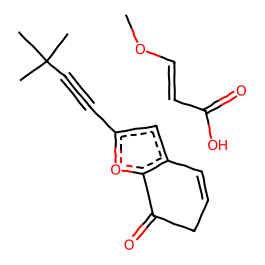 CC(C)(C)C#Cc1cc2c(o1)C(=O)CC=C2.CO/C=C/C(=O)O